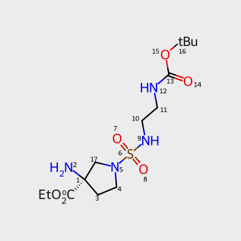 CCOC(=O)[C@@]1(N)CCN(S(=O)(=O)NCCNC(=O)OC(C)(C)C)C1